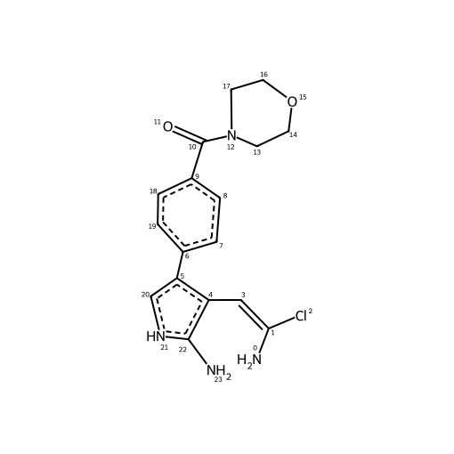 N/C(Cl)=C\c1c(-c2ccc(C(=O)N3CCOCC3)cc2)c[nH]c1N